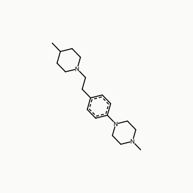 CC1CCN(CCc2ccc(N3CCN(C)CC3)cc2)CC1